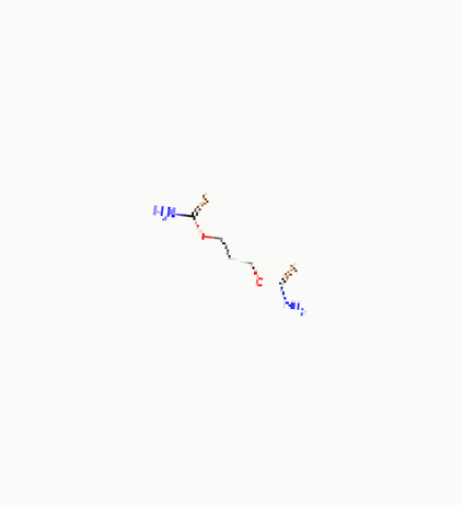 NC(=S)OCCCOC(N)=S